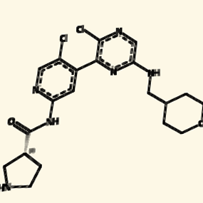 O=C(Nc1cc(-c2nc(NCC3CCOCC3)cnc2Cl)c(Cl)cn1)[C@@H]1CCNC1